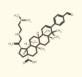 C=C(CNCCN(C)C)[C@@H]1CC[C@]2(C(=O)O)CC[C@]3(C)[C@H](CC[C@@H]4[C@@]5(C)CC=C(c6ccc(C=O)cc6)C(C)(C)[C@@H]5CC[C@]43C)[C@@H]12